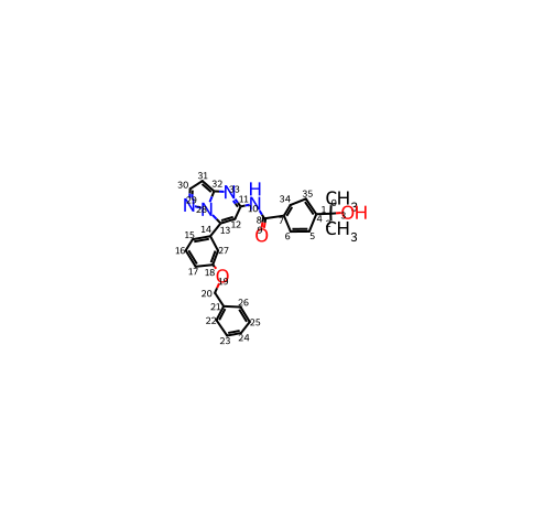 CC(C)(O)c1ccc(C(=O)Nc2cc(-c3cccc(OCc4ccccc4)c3)n3nccc3n2)cc1